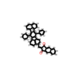 O=C1C(=Cc2ccc3c4c(-c5ccccc5)c5c6cccc7cccc(c5c(-c5ccccc5)c4c4cccc2c43)c76)C(=O)c2cc3ccccc3cc21